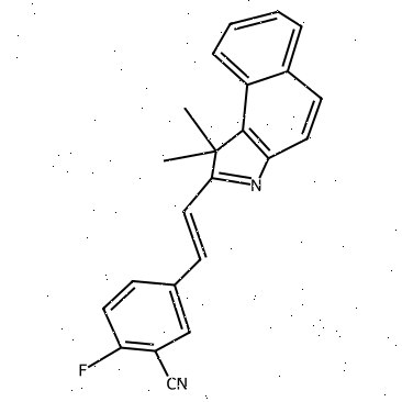 CC1(C)C(/C=C/c2ccc(F)c(C#N)c2)=Nc2ccc3ccccc3c21